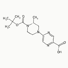 CC1CN(c2cnc(C(=O)O)cn2)CCN1C(=O)OC(C)(C)C